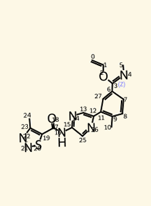 C=CO/C(=N\C)c1ccc(C)c(-c2cnc(NC(=O)c3snnc3C)cn2)c1